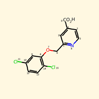 O=C(O)c1ccnc(COc2cc(Cl)ccc2Cl)c1